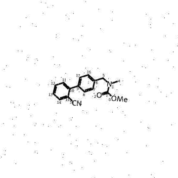 COC(=O)N(C)Cc1ccc(-c2ccccc2C#N)cc1